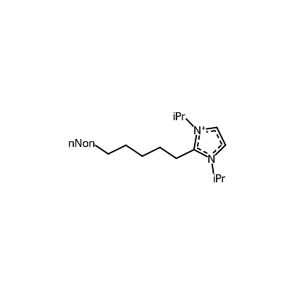 CCCCCCCCCCCCCCc1n(C(C)C)cc[n+]1C(C)C